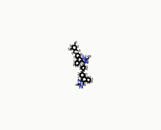 Cc1cc(C)c(Cc2ccc3c(c2)c2ccccc2c2c(-c4ccc(-c5ccc6c(c5)c5ccccc5c5cnc(C)nc65)cc4)nc(C)nc32)c(C)c1